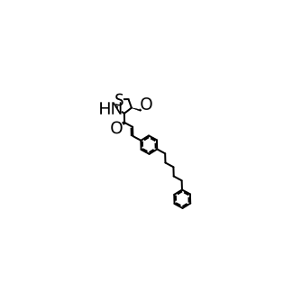 O=C[C@@H]1CSNC1C(=O)C=Cc1ccc(CCCCCc2ccccc2)cc1